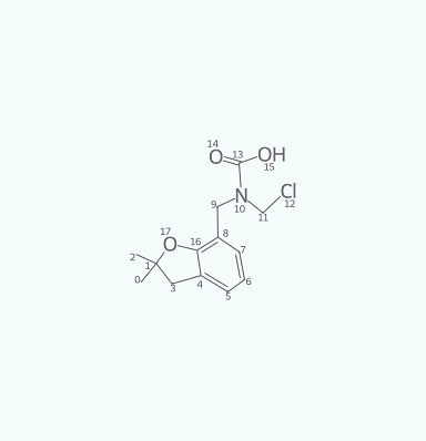 CC1(C)Cc2cccc(CN(CCl)C(=O)O)c2O1